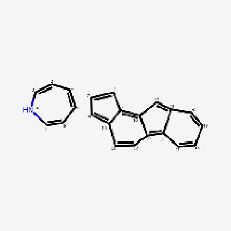 C1=CC=CNC=C1.C1=Cc2c3c(ccc2=C1)=c1ccccc1=C3